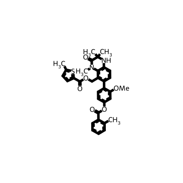 COc1cc(OC(=O)c2ccccc2C)ccc1-c1ccc2c(c1COC(=O)c1ccc(C)s1)N(C)C(=O)C(C)(C)N2